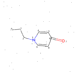 [CH2]CCn1ccc(=O)cc1